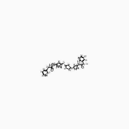 C[C@H](C(=O)Nc1nnc([C@@H]2CC[C@H](Cc3nnc(NC(=O)Cc4cccnc4)s3)C2)s1)c1cccnc1